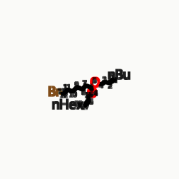 CCCC/C=C\CCOC(CCCCCCBr)OC/C=C\CCCCCC